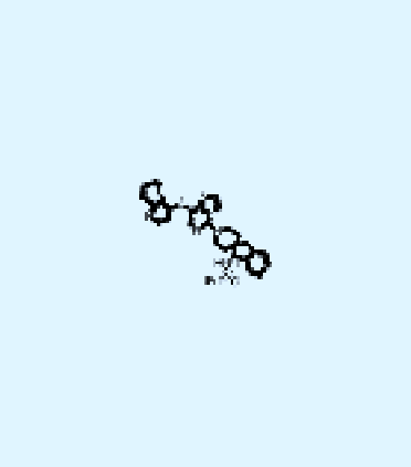 CC(C)(C)[S@@+]([O-])N[C@@H]1c2ccccc2CC12CCN(c1ncc(Sc3ccnc4ccccc34)c3nccn13)CC2